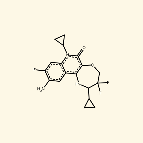 Nc1cc2c3c(c(=O)n(C4CC4)c2cc1F)OCC(F)(F)C(C1CC1)N3